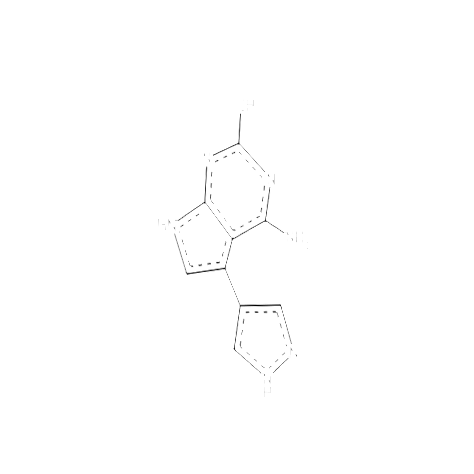 Cc1nc(N)c2c(-c3cn[nH]c3)c[nH]c2n1